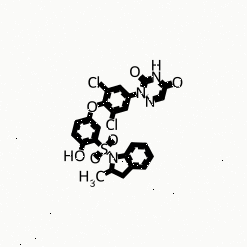 CC1Cc2ccccc2N1S(=O)(=O)c1cc(Oc2c(Cl)cc(-n3ncc(=O)[nH]c3=O)cc2Cl)ccc1O